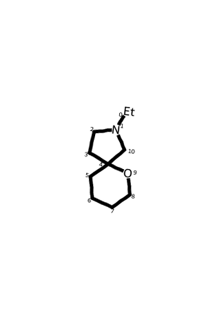 CCN1CCC2(CCCCO2)C1